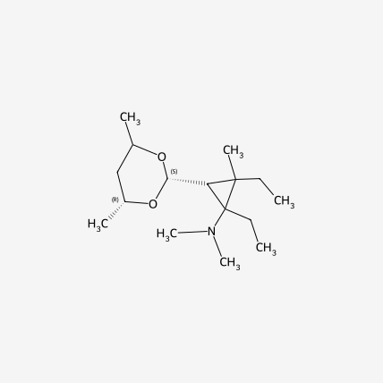 CCC1(C)C([C@H]2OC(C)C[C@@H](C)O2)C1(CC)N(C)C